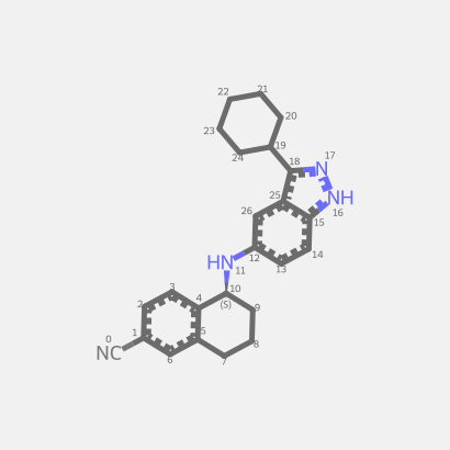 N#Cc1ccc2c(c1)CCC[C@@H]2Nc1ccc2[nH]nc(C3CCCCC3)c2c1